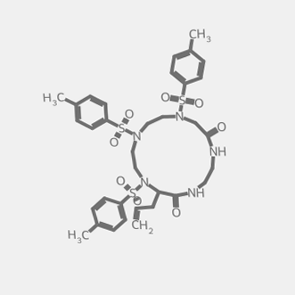 C=CCC1C(=O)NCCNC(=O)CN(S(=O)(=O)c2ccc(C)cc2)CCN(S(=O)(=O)c2ccc(C)cc2)CCN1S(=O)(=O)c1ccc(C)cc1